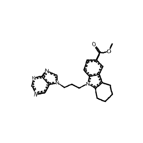 COC(=O)c1ccc2c(c1)c1c(n2CCCn2cnc3ncncc32)CCCC1